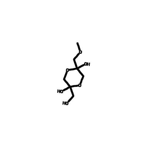 COCC1(O)COC(O)(CO)CO1